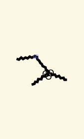 CCCCCCCC/C=C\CCCCCCCCP(=O)(OCCCCCCCC)OCCCCCCCC